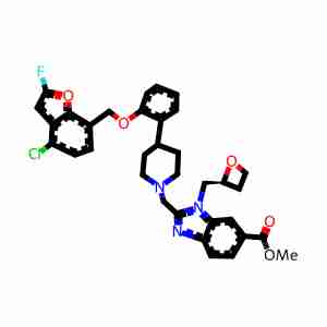 COC(=O)c1ccc2nc(CN3CCC(c4ccccc4OCc4ccc(Cl)c5cc(F)oc45)CC3)n(C[C@@H]3CCO3)c2c1